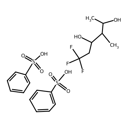 CC(O)C(C)C(O)CC(F)(F)F.O=S(=O)(O)c1ccccc1.O=S(=O)(O)c1ccccc1